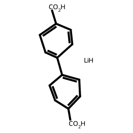 O=C(O)c1ccc(-c2ccc(C(=O)O)cc2)cc1.[LiH]